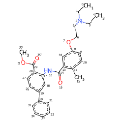 CCN(CC)CCOc1ccc(C)c(C(=O)Nc2cc(-c3ccccc3)ccc2C(=O)OC)c1